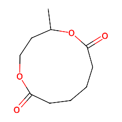 CC1CCOC(=O)CCCCC(=O)O1